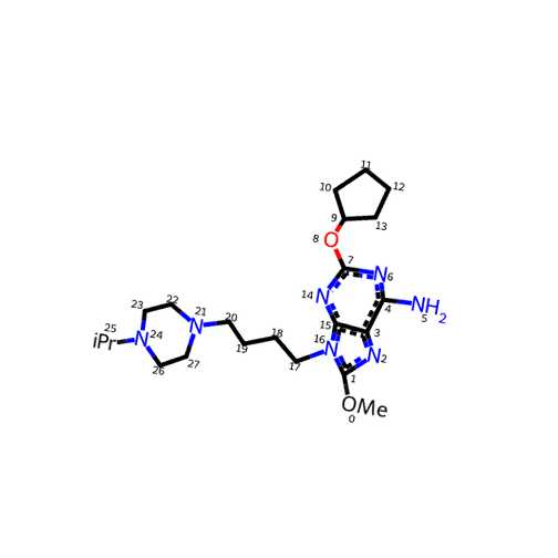 COc1nc2c(N)nc(OC3CCCC3)nc2n1CCCCN1CCN(C(C)C)CC1